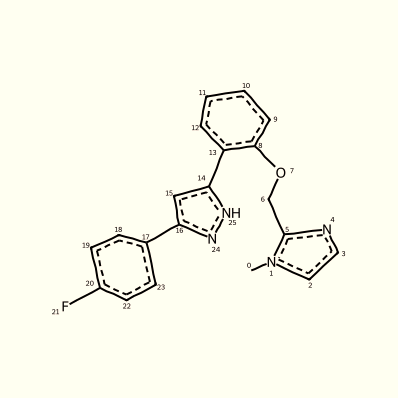 Cn1ccnc1COc1ccccc1-c1cc(-c2ccc(F)cc2)n[nH]1